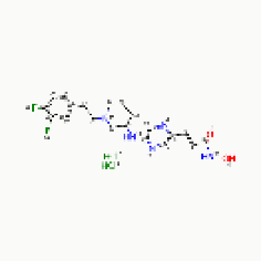 Cl.Cl.O=C(C=Cc1cnc(N[C@@H]2CCCN(CCc3ccc(F)c(F)c3)C2)cn1)NO